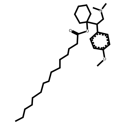 CCCCCCCCCCCCCCC(=O)OC1(C(CN(C)C)c2ccc(OC)cc2)CCCCC1